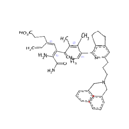 C=C/C(=C\C(C(=C)/C(C)=C(C)\C(=C/N)c1nc(CCCN(Cc2ccccc2)Cc2ccccc2)cc2c1CCC2)=C(/N)C(N)=O)CCC(=O)O